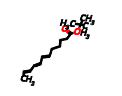 CC=CC=CC=CCCCCC(=O)OC(C)(C)C